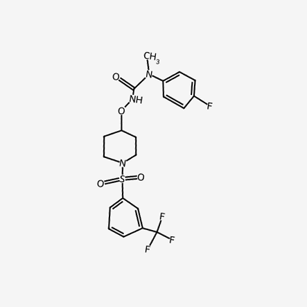 CN(C(=O)NOC1CCN(S(=O)(=O)c2cccc(C(F)(F)F)c2)CC1)c1ccc(F)cc1